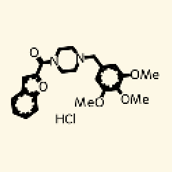 COc1cc(CN2CCN(C(=O)c3cc4ccccc4o3)CC2)cc(OC)c1OC.Cl